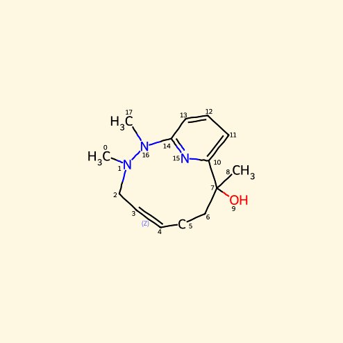 CN1C/C=C\CCC(C)(O)c2cccc(n2)N1C